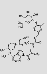 C[C@@H]1CCN(C(=O)CC#N)C[C@@H]1N(C)c1ncnc2c1ccn2C(=O)N(C)CCN(C)C(=O)OCc1ccc(O[C@@H]2O[C@H](C(=O)O)[C@@H](O)[C@H](O)[C@H]2O)c(Cl)c1